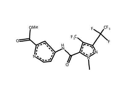 COC(=O)c1cc(NC(=O)c2c(C(F)(F)F)c(C(F)(F)C(F)(F)F)nn2C)ccn1